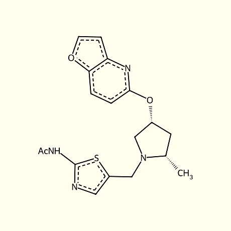 CC(=O)Nc1ncc(CN2C[C@H](Oc3ccc4occc4n3)C[C@@H]2C)s1